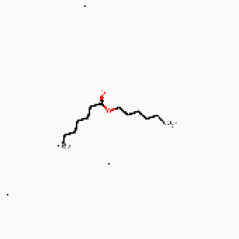 CC(C)(C)CCCCCC(=O)OCCCCCC(=O)O